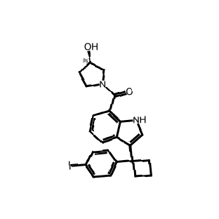 O=C(c1cccc2c(C3(c4ccc(I)cc4)CCC3)c[nH]c12)N1CC[C@@H](O)C1